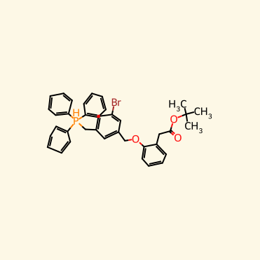 CC(C)(C)OC(=O)Cc1ccccc1OCc1cc(Br)cc(C[PH](c2ccccc2)(c2ccccc2)c2ccccc2)c1